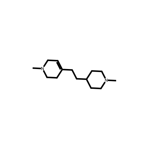 CN1CC=C(CCC2CCN(C)CC2)CC1